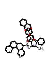 C\C1=C(c2ccc(-c3ccc4ccccc4c3)cc2-c2ccccc2)/N=C(c2cc3ccc4ccccc4c3c3cnccc23)\N=C(\c2ccccc2)CC1